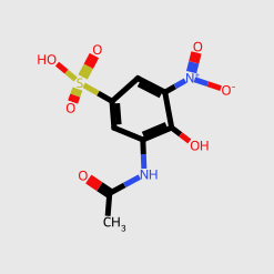 CC(=O)Nc1cc(S(=O)(=O)O)cc([N+](=O)[O-])c1O